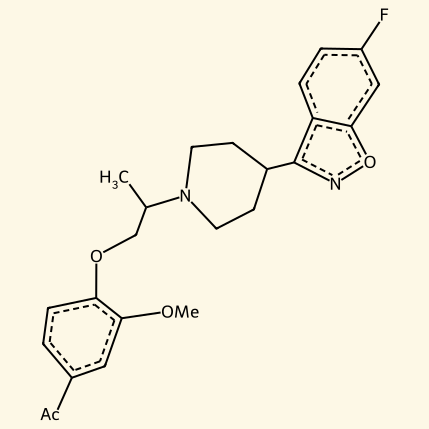 COc1cc(C(C)=O)ccc1OCC(C)N1CCC(c2noc3cc(F)ccc23)CC1